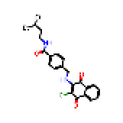 CCC(CC)CCNC(=O)c1ccc(CNC2=C(Cl)C(=O)c3ccccc3C2=O)cc1